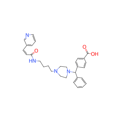 O=C(/C=C\c1cccnc1)NCCCCN1CCN(C(c2ccccc2)c2ccc(C(=O)O)cc2)CC1